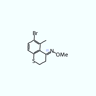 CO/N=C1\CCSc2ccc(Br)c(C)c21